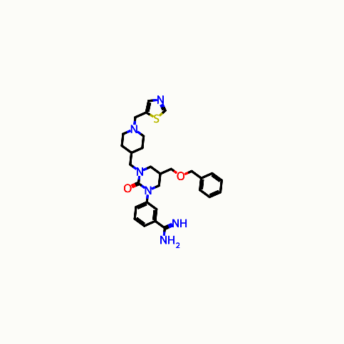 N=C(N)c1cccc(N2CC(COCc3ccccc3)CN(CC3CCN(Cc4cncs4)CC3)C2=O)c1